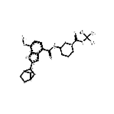 COc1ccc(C(=O)NC2CCCN(C(=O)OC(C)(C)C)C2)c2nc(C3CC4CCC3C4)[nH]c12